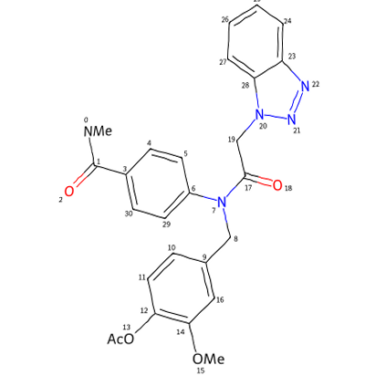 CNC(=O)c1ccc(N(Cc2ccc(OC(C)=O)c(OC)c2)C(=O)Cn2nnc3ccccc32)cc1